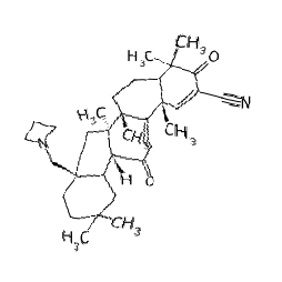 CC1(C)CC[C@]2(CN3CCC3)CC[C@]3(C)[C@H](C(=O)C=C4[C@@]5(C)C=C(C#N)C(=O)C(C)(C)C5CC[C@]43C)C2C1